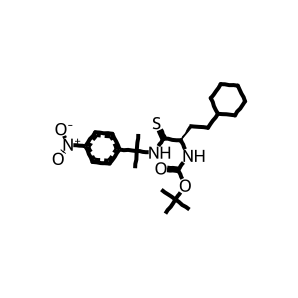 CC(C)(C)OC(=O)N[C@H](CCC1CCCCC1)C(=S)NC(C)(C)c1ccc([N+](=O)[O-])cc1